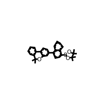 CC1(C)Oc2cc(-c3ccc(B4OC(C)(C)C(C)(C)O4)c4ccccc34)ccc2-c2ccccc21